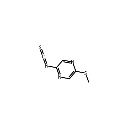 CSc1cnc(N=C=S)cn1